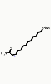 CCCCCCCCCCCCCCCCCCC/C=C\C(N)=O